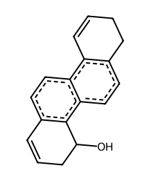 OC1CC=Cc2ccc3c4c(ccc3c21)CCC=C4